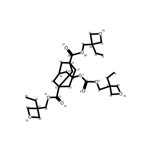 CCC1(COC(=O)OC23CC4CC(C(=O)OCC5(CC)COC5)(C2)CC(C(=O)OCC2(CC)COC2)(C4)C3)COC1